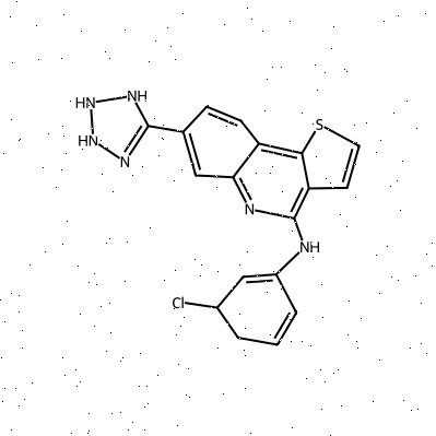 ClC1C=C(Nc2nc3cc(C4=NNNN4)ccc3c3sccc23)C=CC1